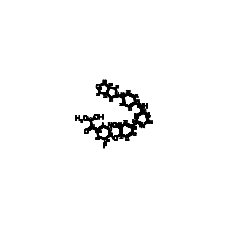 CC(O)C(=O)N1CC[C@H](Oc2ccc(-c3ncnc(Nc4ccc(N5CC6COCC6C5)cc4)n3)cc2C#N)[C@H](F)C1